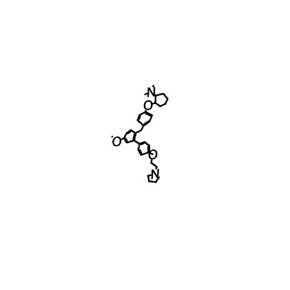 COc1ccc(Cc2ccc(OC3CCCCC3N(C)C)cc2)c(-c2ccc(OCCN3CCCC3)cc2)c1